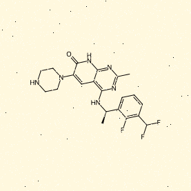 Cc1nc(N[C@H](C)c2cccc(C(F)F)c2F)c2cc(N3CCNCC3)c(=O)[nH]c2n1